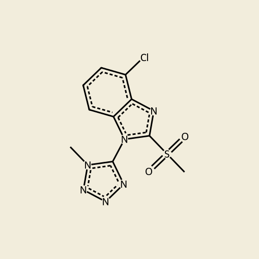 Cn1nnnc1-n1c(S(C)(=O)=O)nc2c(Cl)cccc21